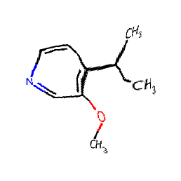 COc1cnccc1C(C)C